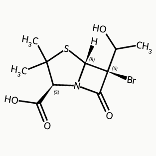 CC(O)[C@]1(Br)C(=O)N2[C@@H](C(=O)O)C(C)(C)S[C@@H]21